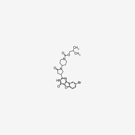 CC(C)COC(=O)N1CCC(N2CC(c3nc4c(oc5ccc(Br)cc54)c(=O)[nH]3)CC2=O)CC1